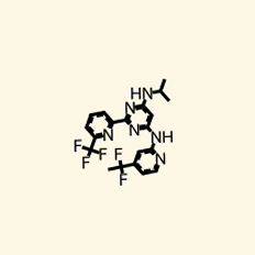 CC(C)Nc1cc(Nc2cc(C(C)(F)F)ccn2)nc(-c2cccc(C(F)(F)F)n2)n1